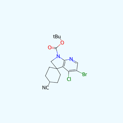 CC(C)(C)OC(=O)N1CC2(CCC(C#N)CC2)c2c1ncc(Br)c2Cl